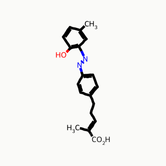 C/C(=C\CCc1ccc(/N=N/c2cc(C)ccc2O)cc1)C(=O)O